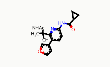 CC(=O)NC(C)(C)c1nc(NC(=O)C2CC2)ccc1-c1ccoc1